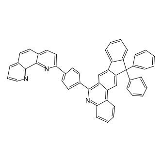 c1ccc(C2(c3ccccc3)c3ccccc3-c3cc4c(-c5ccc(-c6ccc7ccc8cccnc8c7n6)cc5)nc5ccccc5c4cc32)cc1